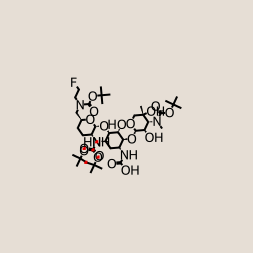 CN(C(=O)OC(C)(C)C)[C@@H]1[C@@H](O)[C@@H](O[C@@H]2[C@@H](O)[C@H](O[C@H]3O[C@H](CN(CCF)C(=O)OC(C)(C)C)CC[C@H]3NC(=O)OC(C)(C)C)[C@@H](NC(=O)OC(C)(C)C)C[C@H]2NC(=O)O)OC[C@]1(C)O